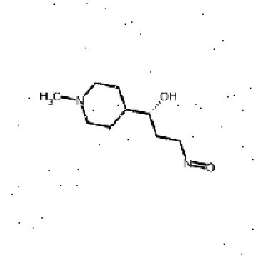 CN1CCC([C@H](O)CCN=O)CC1